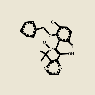 CC1(C)c2nccnc2C(O)=C(c2c(F)ccc(Cl)c2OCc2ccccc2)[S+]1[O-]